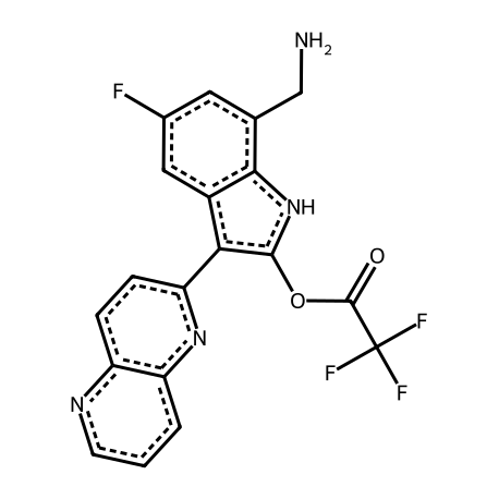 NCc1cc(F)cc2c(-c3ccc4ncccc4n3)c(OC(=O)C(F)(F)F)[nH]c12